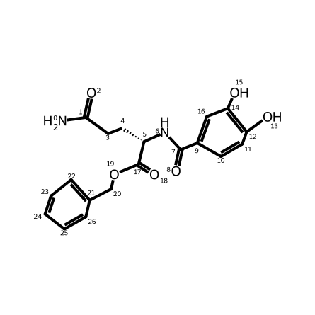 NC(=O)CC[C@H](NC(=O)c1ccc(O)c(O)c1)C(=O)OCc1ccccc1